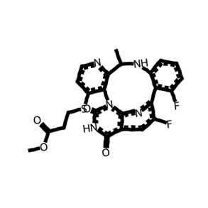 COC(=O)CCSc1ccnc2c1-n1c(=O)[nH]c(=O)c3cc(F)c(nc31)-c1c(F)cccc1NC2C